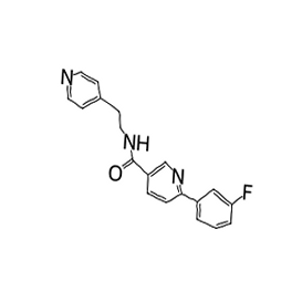 O=C(NCCc1ccncc1)c1ccc(-c2cccc(F)c2)nc1